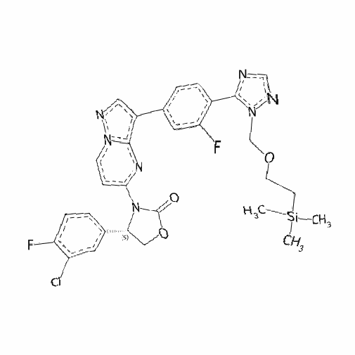 C[Si](C)(C)CCOCn1ncnc1-c1ccc(-c2cnn3ccc(N4C(=O)OC[C@@H]4c4ccc(F)c(Cl)c4)nc23)cc1F